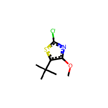 COc1nc(Cl)sc1C(C)(C)C